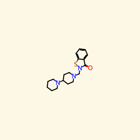 O=c1c2ccccc2sn1CN1CCC(N2CCCCC2)CC1